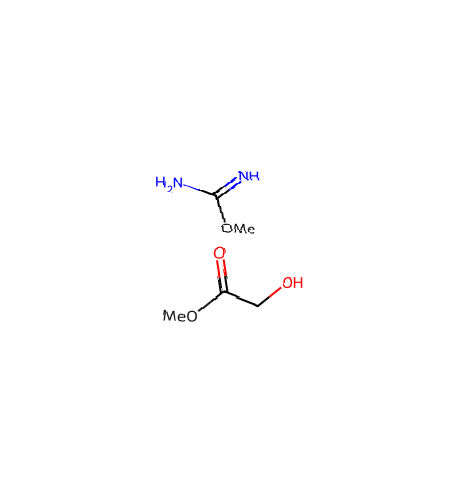 COC(=N)N.COC(=O)CO